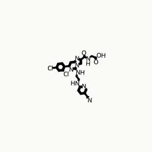 N#Cc1ccc(NCCNc2nc(-c3ccc(Cl)cc3Cl)cc3nc(C(=O)NCC(=O)O)cn23)nc1